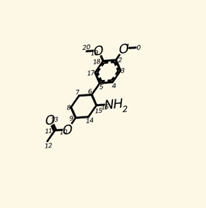 COc1ccc(C2CCC(OC(C)=O)CC2N)cc1OC